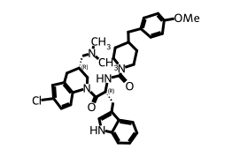 COc1ccc(CC2CCN(C(=O)N[C@H](Cc3c[nH]c4ccccc34)C(=O)N3C[C@@H](CN(C)C)Cc4cc(Cl)ccc43)CC2)cc1